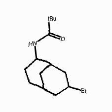 CCC1CC2CCC(NC(=O)C(C)(C)C)C(C1)C2